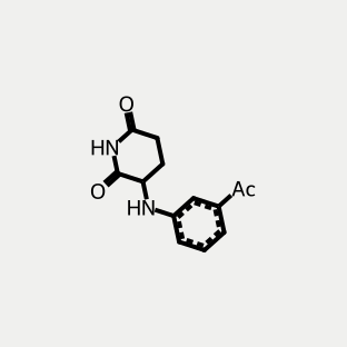 CC(=O)c1cccc(NC2CCC(=O)NC2=O)c1